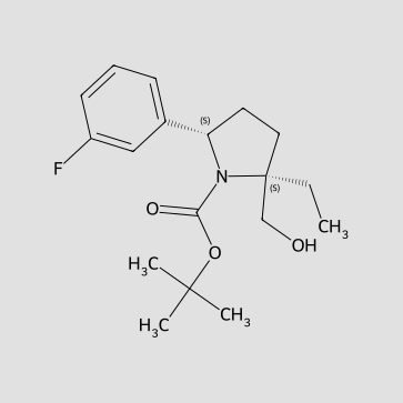 CC[C@@]1(CO)CC[C@@H](c2cccc(F)c2)N1C(=O)OC(C)(C)C